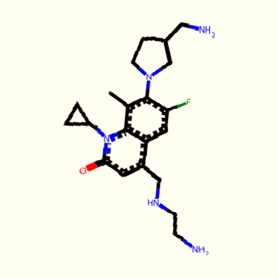 Cc1c(N2CCC(CN)C2)c(F)cc2c(CNCCN)cc(=O)n(C3CC3)c12